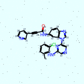 Cc1cccc(Cl)c1Nc1cncc(-n2cnc3ccc(NC(=O)C#Cc4cccnc4)cc32)n1